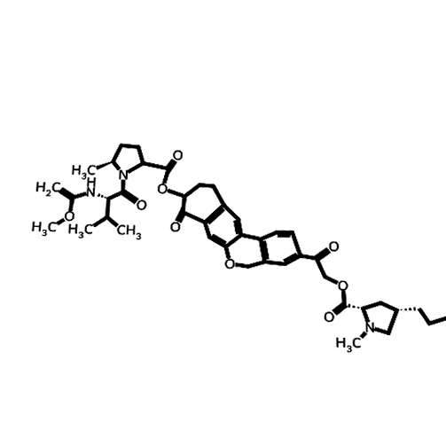 C=C(N[C@H](C(=O)N1C(C(=O)OC2CCc3cc4c(cc3C2=O)OCc2cc(C(=O)COC(=O)[C@@H]3C[C@H](CCO)CN3C)ccc2-4)CC[C@@H]1C)C(C)C)OC